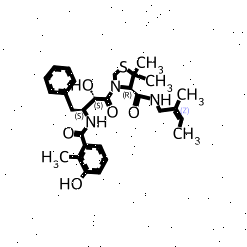 C/C=C(/C)CNC(=O)[C@H]1N(C(=O)[C@@H](O)[C@H](Cc2ccccc2)NC(=O)c2cccc(O)c2C)CSC1(C)C